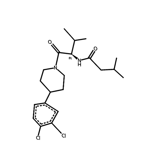 CC(C)CC(=O)N[C@@H](C(=O)N1CCC(c2ccc(Cl)c(Cl)c2)CC1)C(C)C